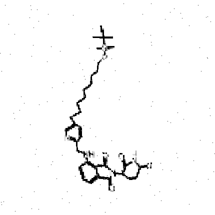 CC(C)(C)[Si](C)(C)OCCCCCCCCCc1ccc(CNc2cccc3c2C(=O)N(C2CCC(=O)NC2=O)C3=O)nc1